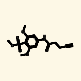 C#CCCC(=O)Nc1cc(OC)c(S(=O)(=O)OC)c(OC)c1